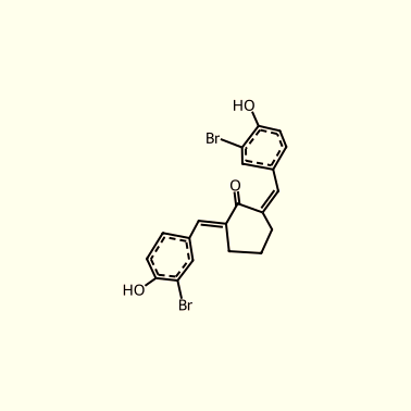 O=C1/C(=C\c2ccc(O)c(Br)c2)CCC/C1=C\c1ccc(O)c(Br)c1